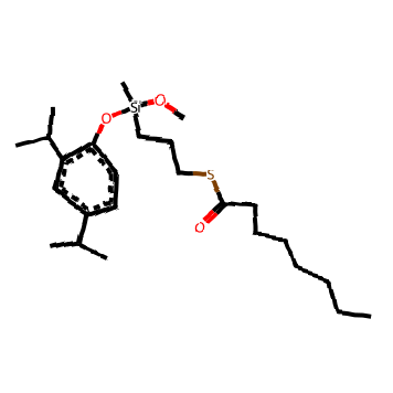 CCCCCCCC(=O)SCCC[Si](C)(OC)Oc1ccc(C(C)C)cc1C(C)C